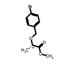 COC(=O)[C@H](C)OCc1ccc(Br)cc1